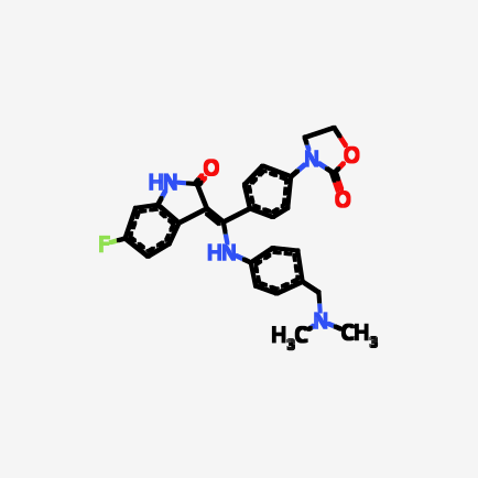 CN(C)Cc1ccc(NC(=C2C(=O)Nc3cc(F)ccc32)c2ccc(N3CCOC3=O)cc2)cc1